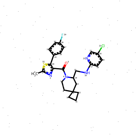 Cc1nc(C(=O)N2CCC3(CCC3)CC2CNc2ccc(Cl)cn2)c(-c2ccc(F)cc2)s1